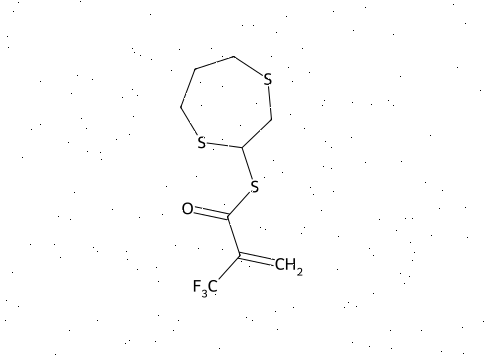 C=C(C(=O)SC1CSCCCS1)C(F)(F)F